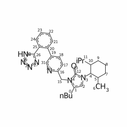 CCCCc1cn(C2C(C)CCCC2C(C)C)c(=O)n1Cc1ccc(-c2ccccc2-c2nnn[nH]2)cn1